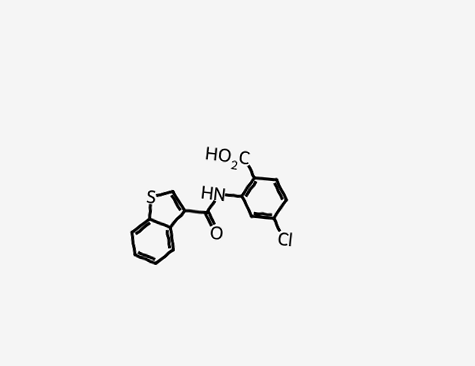 O=C(O)c1ccc(Cl)cc1NC(=O)c1csc2ccccc12